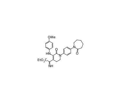 CCOC(=O)C(=N)C1=C(Nc2ccc(OC)cc2)C(=O)N(c2ccc(N3CCCCCC3=O)cc2)CC1